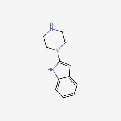 c1ccc2[nH]c(N3CCNCC3)cc2c1